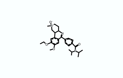 CCOc1cc2c(cc1OC)C(c1ccc(C(=O)N(C(C)C)C(C)C)cc1)=NC1CC[N+](C)([O-])CC21